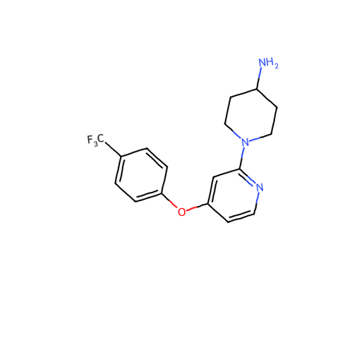 NC1CCN(c2cc(Oc3ccc(C(F)(F)F)cc3)ccn2)CC1